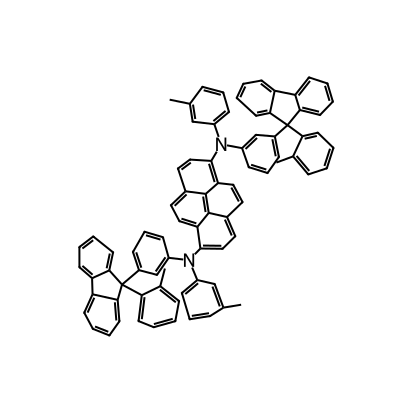 Cc1cccc(N(c2cccc(C3(c4ccccc4C)c4ccccc4-c4ccccc43)c2)c2ccc3ccc4c(N(c5cccc(C)c5)c5cccc(C6(c7ccccc7C)c7ccccc7-c7ccccc76)c5)ccc5ccc2c3c54)c1